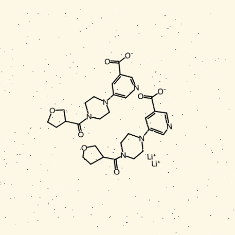 O=C([O-])c1cncc(N2CCN(C(=O)C3CCOC3)CC2)c1.O=C([O-])c1cncc(N2CCN(C(=O)C3CCOC3)CC2)c1.[Li+].[Li+]